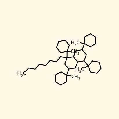 CCCCCCCCC1(C2(C)CCCCC2)CC(C2(C)CCCCC2)CC2C(C3(C)CCCCC3)CC(C3(C)CCCCC3)CC21